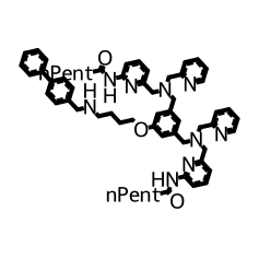 CCCCCC(=O)Nc1cccc(CN(Cc2cc(CN(Cc3ccccn3)Cc3cccc(NC(=O)CCCCC)n3)cc(OCCCCNCc3ccc(-c4ccccc4)cc3)c2)Cc2ccccn2)n1